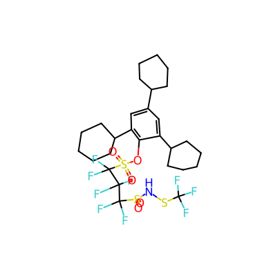 O=S(=O)(NSC(F)(F)F)C(F)(F)C(F)(F)C(F)(F)S(=O)(=O)Oc1c(C2CCCCC2)cc(C2CCCCC2)cc1C1CCCCC1